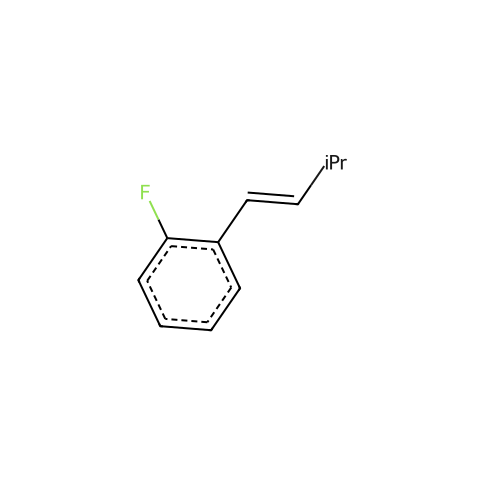 CC(C)C=Cc1ccccc1F